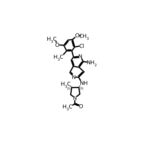 COc1cc(OC)c(Cl)c(-c2cc3cnc(N[C@@H]4CN(C(C)=O)C[C@@H]4C)cc3c(N)n2)c1C